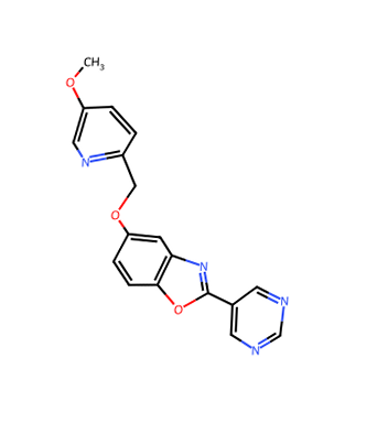 COc1ccc(COc2ccc3oc(-c4cncnc4)nc3c2)nc1